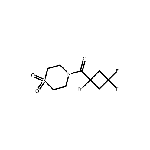 CC(C)C1(C(=O)N2CCS(=O)(=O)CC2)CC(F)(F)C1